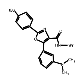 CCCNC(=O)c1nc(-c2ccc(C(C)(C)C)cc2)oc1-c1cccc(N(C)C)c1